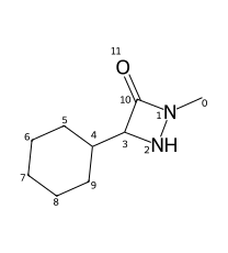 CN1NC(C2CCCCC2)C1=O